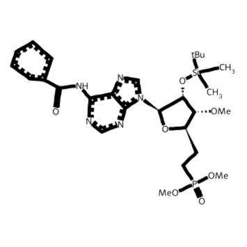 CO[C@H]1[C@@H](O[Si](C)(C)C(C)(C)C)[C@H](n2cnc3c(NC(=O)c4ccccc4)ncnc32)O[C@@H]1CCP(=O)(OC)OC